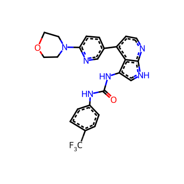 O=C(Nc1ccc(C(F)(F)F)cc1)Nc1c[nH]c2nccc(-c3ccc(N4CCOCC4)nc3)c12